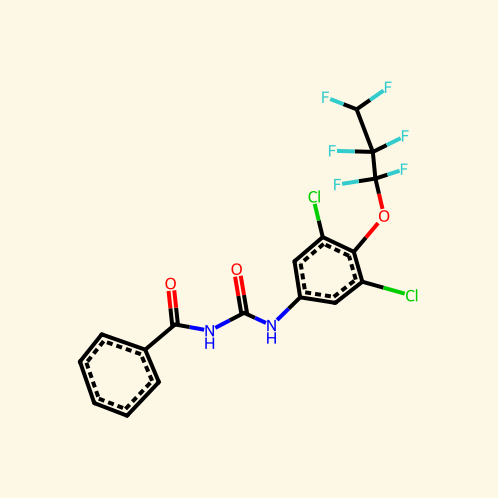 O=C(NC(=O)c1ccccc1)Nc1cc(Cl)c(OC(F)(F)C(F)(F)C(F)F)c(Cl)c1